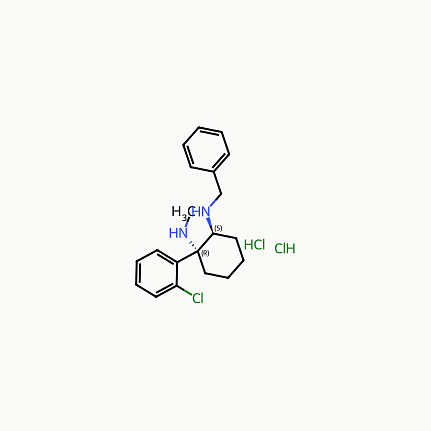 CN[C@@]1(c2ccccc2Cl)CCCC[C@@H]1NCc1ccccc1.Cl.Cl